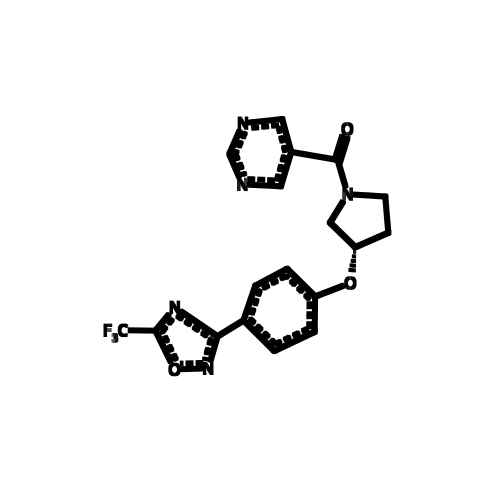 O=C(c1cncnc1)N1CC[C@H](Oc2ccc(-c3noc(C(F)(F)F)n3)cc2)C1